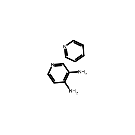 Nc1ccncc1N.c1ccncc1